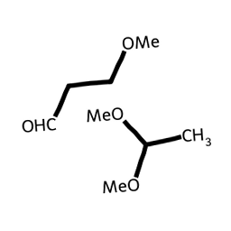 COC(C)OC.COCCC=O